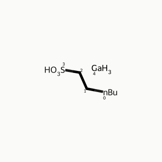 CCCCCCS(=O)(=O)O.[GaH3]